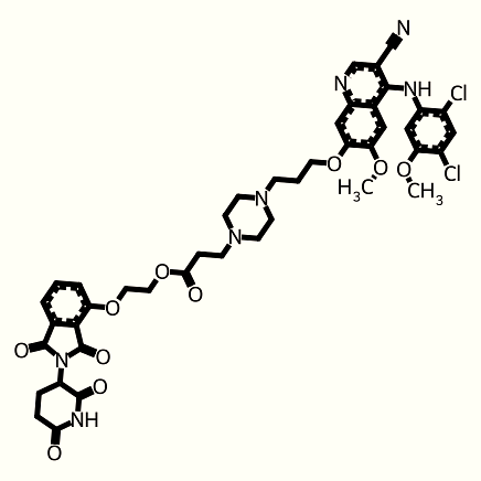 COc1cc(Nc2c(C#N)cnc3cc(OCCCN4CCN(CCC(=O)OCCOc5cccc6c5C(=O)N(C5CCC(=O)NC5=O)C6=O)CC4)c(OC)cc23)c(Cl)cc1Cl